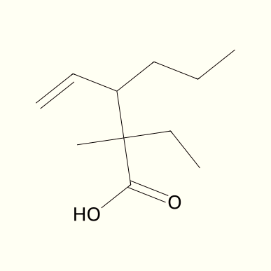 C=CC(CCC)C(C)(CC)C(=O)O